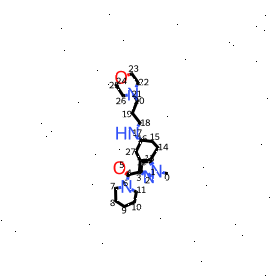 Cn1nc(C(=O)N2CCCCC2)c2c1CCC(NCCCN1CCOCC1)C2